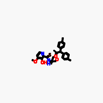 COc1ccnc(C(=S)N[C@@](C)(C=O)CO[C@@H](C)C(c2ccc(C)cc2)c2ccc(C)cc2)c1O